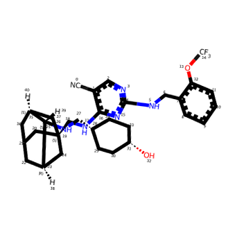 N#Cc1cnc(NCc2ccccc2OC(F)(F)F)nc1NC[C@]12CC3C[C@H](C1)[C@@H](NC[C@H]1CC[C@@H](O)CC1)[C@@H](C3)C2